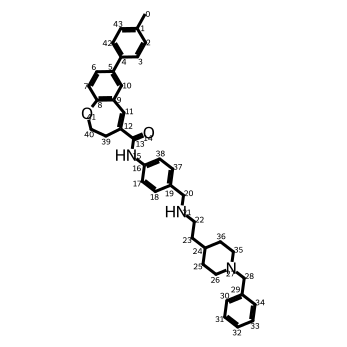 Cc1ccc(-c2ccc3c(c2)C=C(C(=O)Nc2ccc(CNCCC4CCN(Cc5ccccc5)CC4)cc2)CCO3)cc1